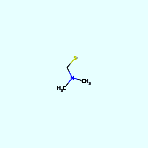 CN(C)C[S]